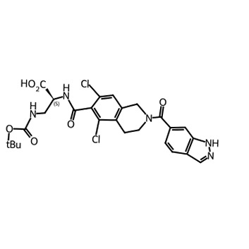 CC(C)(C)OC(=O)NC[C@H](NC(=O)c1c(Cl)cc2c(c1Cl)CCN(C(=O)c1ccc3cn[nH]c3c1)C2)C(=O)O